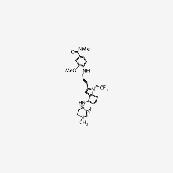 CNC(=O)c1ccc(NCC#Cc2cc3c(N[C@H]4CCN(C)C[C@@H]4F)cccc3n2CC(F)(F)F)c(OC)c1